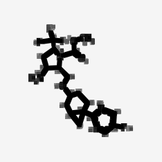 COC(=O)N1[C@H](C(F)(F)F)CC(N)[C@@H]1COC1CCC2(c3ncc(F)cn3)CC2C1